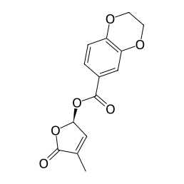 CC1=C[C@H](OC(=O)c2ccc3c(c2)OCCO3)OC1=O